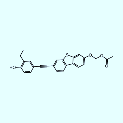 CCc1cc(C#Cc2ccc3c(c2)sc2cc(OCOC(C)=O)ccc23)ccc1O